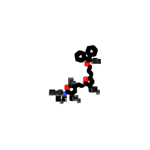 C=C1C[C@H](CCCO[Si](c2ccccc2)(c2ccccc2)C(C)(C)C)O[C@H]1CCC(C)C[C@@H](C)C(=O)N(C)OC